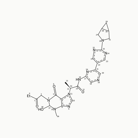 CCC(=O)CN1C(=O)c2c(ncn2[C@@H](C)C(=O)Nc2cncc(-c3cnc(N4CC5CC5C4)nc3)n2)N(C)C1O